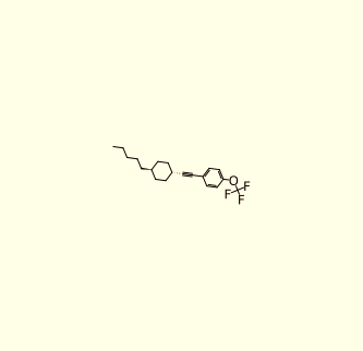 CCCCC[C@H]1CC[C@H](C#Cc2ccc(OC(F)(F)F)cc2)CC1